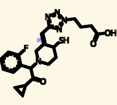 O=C(O)CCCn1nnc(/C=C2/CN(C(C(=O)C3CC3)c3ccccc3F)CCC2S)n1